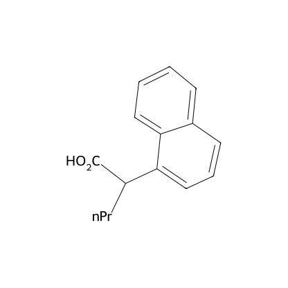 CCCC(C(=O)O)c1cccc2ccccc12